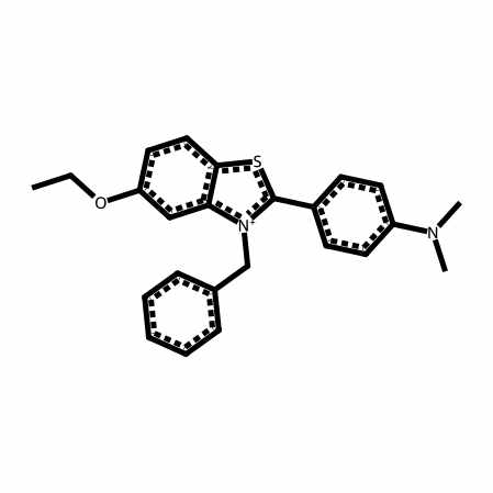 CCOc1ccc2sc(-c3ccc(N(C)C)cc3)[n+](Cc3ccccc3)c2c1